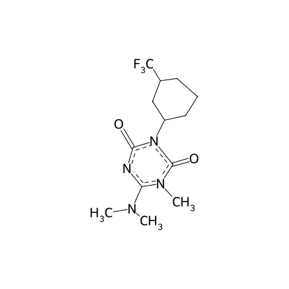 CN(C)c1nc(=O)n(C2CCCC(C(F)(F)F)C2)c(=O)n1C